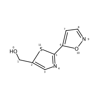 OCc1cnc(-c2ccno2)s1